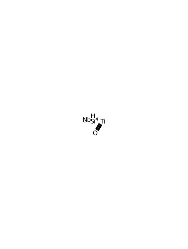 [Nb].[O]=[Ti].[SiH4]